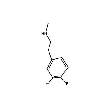 CNCCc1ccc(F)c(F)c1